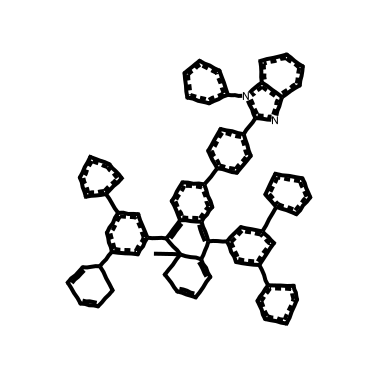 CC12CC=CC=C1C(c1cc(-c3ccccc3)cc(-c3ccccc3)c1)=c1cc(-c3ccc(-c4nc5ccccc5n4-c4ccccc4)cc3)ccc1=C2c1cc(-c2ccccc2)cc(C2C=CC=CC2)c1